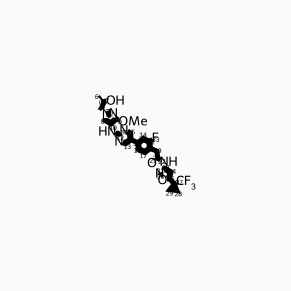 COc1nn(C[C@@H](C)O)cc1Nc1ncc(-c2ccc(CC(=O)Nc3cc(C4(C(F)(F)F)CC4)on3)c(F)c2)cn1